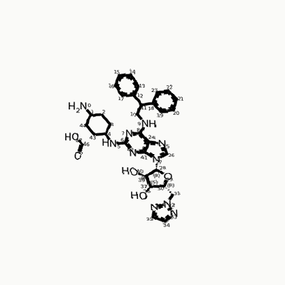 NC1CCC(Nc2nc(NCC(c3ccccc3)c3ccccc3)c3ncn([C@@H]4O[C@H](Cn5nccn5)[C@@H](O)[C@H]4O)c3n2)CC1.O=CO